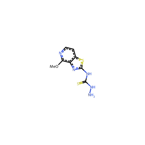 COc1nccc2sc(NC(=S)NN)nc12